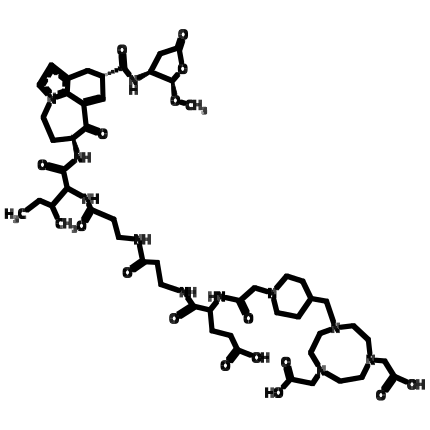 CCC(C)C(NC(=O)CCNC(=O)CCNC(=O)C(CCC(=O)O)NC(=O)CN1CCC(CN2CCN(CC(=O)O)CCN(CC(=O)O)CC2)CC1)C(=O)N[C@H]1CCn2ccc3c2C(=C[C@@H](C(=O)N[C@H]2CC(=O)O[C@H]2OC)C3)C1=O